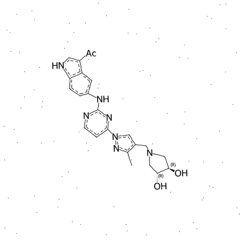 CC(=O)c1c[nH]c2ccc(Nc3nccc(-n4cc(CN5C[C@@H](O)[C@H](O)C5)c(C)n4)n3)cc12